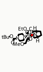 CCOC(=O)[C@@H]1[C@@H]2CC[C@H](CN1S(=O)(=O)N1CCN(C(=O)OC(C)(C)C)CC1)N2C(=O)OCCOC